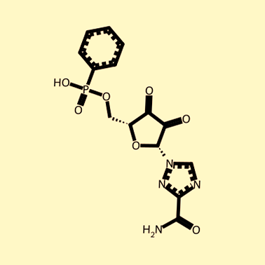 NC(=O)c1ncn([C@@H]2O[C@H](COP(=O)(O)c3ccccc3)C(=O)C2=O)n1